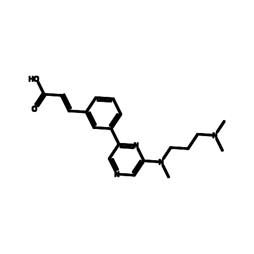 CN(C)CCCN(C)c1cncc(-c2cccc(C=CC(=O)O)c2)n1